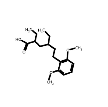 CCC(CCc1c(OC)cccc1OC)CC(CN)C(=O)O